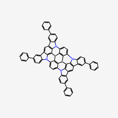 c1ccc(-c2ccc3c(c2)c2cc4c5cc(-c6ccccc6)ccc5n5c4c4c2n3-c2ccc3c6c2B4c2c-5ccc4c2B6c2c5c(cc6c7cc(-c8ccccc8)ccc7n-4c26)c2cc(-c4ccccc4)ccc2n5-3)cc1